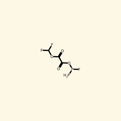 O=C(OC(F)F)C(=O)OP(F)P